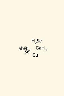 [Cu].[GaH3].[SbH3].[SeH2].[SeH2]